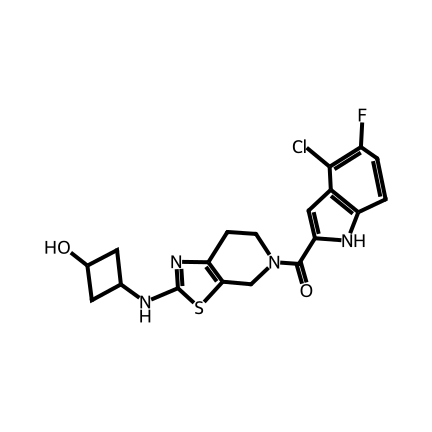 O=C(c1cc2c(Cl)c(F)ccc2[nH]1)N1CCc2nc(NC3CC(O)C3)sc2C1